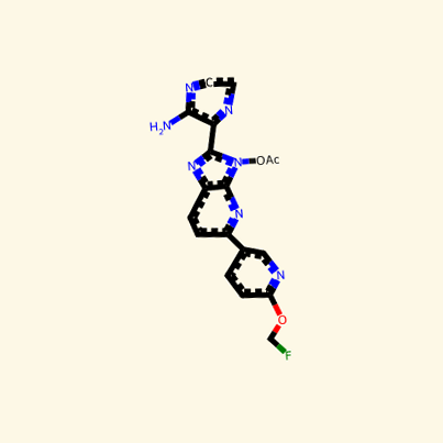 CC(=O)On1c(-c2nccnc2N)nc2ccc(-c3ccc(OCF)nc3)nc21